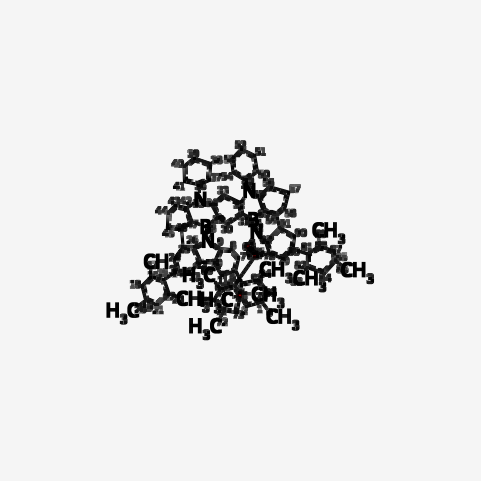 Cc1cc(C)c(-c2ccc3c(c2)c2cc(-c4c(C)cc(C)cc4C)cc4c2n3B2c3cc5c(cc3N(c3ccccc3)c3cccc-4c32)N(c2ccccc2)c2cccc3c2B5n2c4ccc(-c5c(C)cc(C)cc5C)cc4c4cc(-c5c(C)cc(C)cc5C)cc-3c42)c(C)c1